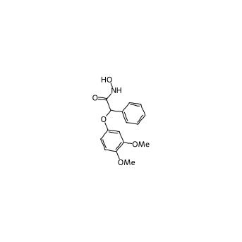 COc1ccc(OC(C(=O)NO)c2ccccc2)cc1OC